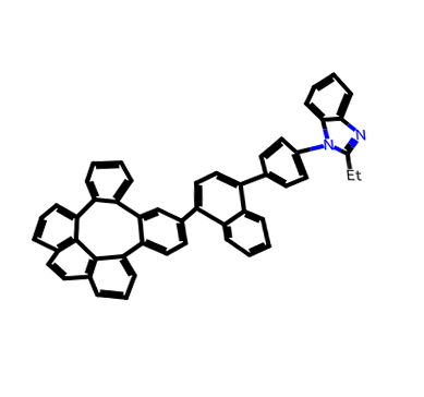 CCc1nc2ccccc2n1-c1ccc(-c2ccc(-c3ccc4c(c3)c3ccccc3c3cccc5ccc6cccc4c6c53)c3ccccc23)cc1